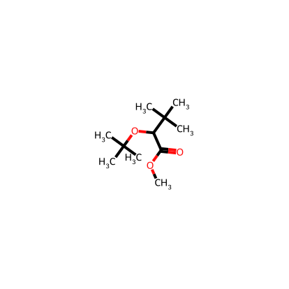 COC(=O)C(OC(C)(C)C)C(C)(C)C